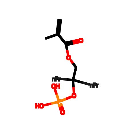 C=C(C)C(=O)OCC(CCC)(CCC)OP(=O)(O)O